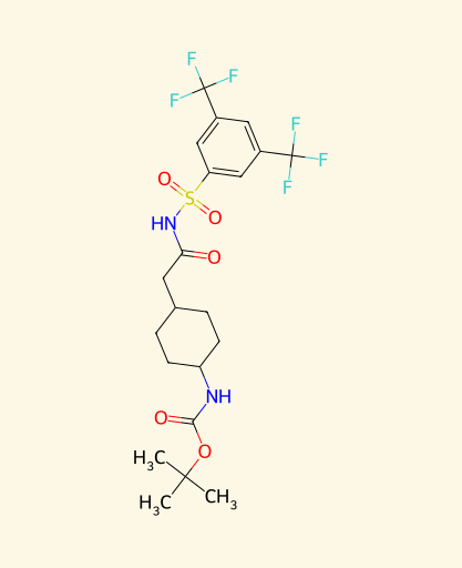 CC(C)(C)OC(=O)NC1CCC(CC(=O)NS(=O)(=O)c2cc(C(F)(F)F)cc(C(F)(F)F)c2)CC1